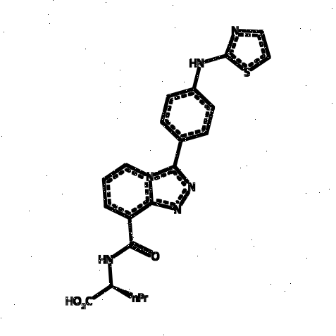 CCC[C@H](NC(=O)c1cccn2c(-c3ccc(Nc4nccs4)cc3)nnc12)C(=O)O